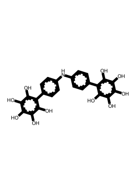 Oc1c(O)c(O)c(-c2ccc(Nc3ccc(-c4c(O)c(O)c(O)c(O)c4O)cc3)cc2)c(O)c1O